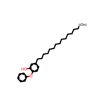 CCCCCCCCCCCCCCCCCCCCCCCCc1ccc(Oc2ccccc2)c(O)c1